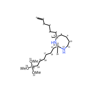 C=CCCCC[Si]1(C)CCCCN[Si](C)(CCCCCC[Si](OC)(OC)OC)N1